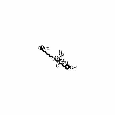 CCCCCCCCCCCCCCCCCCOC(=O)CN(C(=O)CN)C(=O)[C@@H](N)Cc1ccc(O)cc1